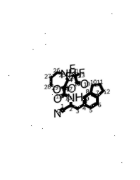 N#CC(Cc1ccc2c(c1)CCC2)NC(=O)[C@@]1(OC(=O)C(F)(F)F)CNCCCO1